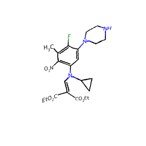 CCOC(=O)C(=CN(c1cc(N2CCNCC2)c(F)c(C)c1[N+](=O)[O-])C1CC1)C(=O)OCC